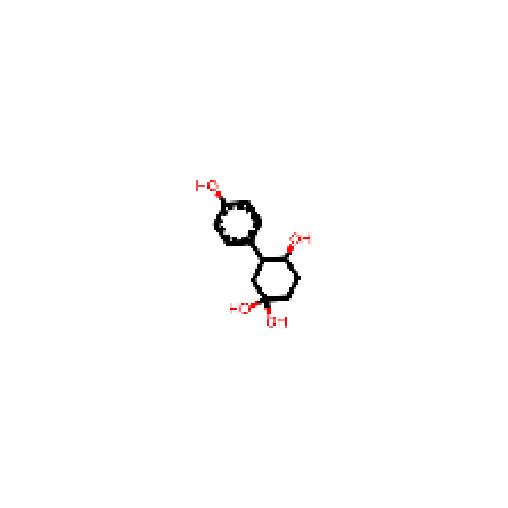 Oc1ccc(C2CC(O)(O)CCC2O)cc1